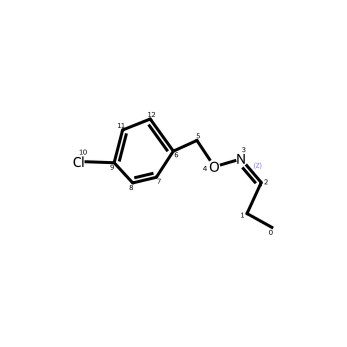 CC/[C]=N\OCc1ccc(Cl)cc1